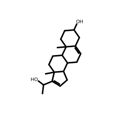 CC(O)C1=CCC2C3CC=C4CC(O)CCC4(C)C3CCC12C